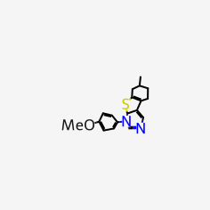 COc1ccc(N2C=NC=C3C4=C(CC(C)CC4)SC32)cc1